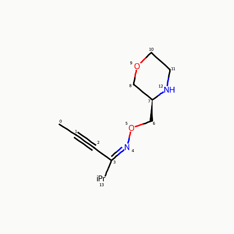 CC#C/C(=N\OC[C@H]1COCCN1)C(C)C